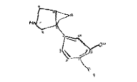 Fc1ccc(C23CNCC2C3)cc1Cl